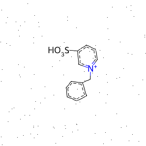 O=S(=O)(O)c1ccc[n+](Cc2ccccc2)c1